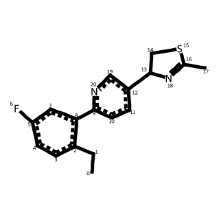 CCc1ccc(F)cc1-c1ccc(C2CSC(C)=N2)cn1